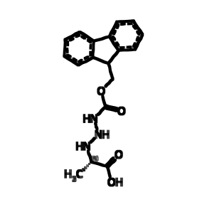 C[C@H](NNNC(=O)OCC1c2ccccc2-c2ccccc21)C(=O)O